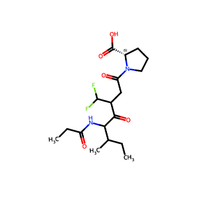 CCC(=O)NC(C(=O)C(CC(=O)N1CCC[C@H]1C(=O)O)C(F)F)C(C)CC